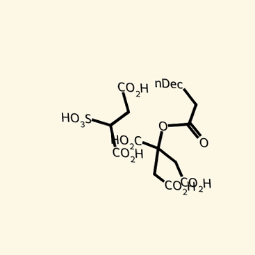 CCCCCCCCCCCC(=O)OC(CC(=O)O)(CC(=O)O)C(=O)O.O=C(O)CC(C(=O)O)S(=O)(=O)O